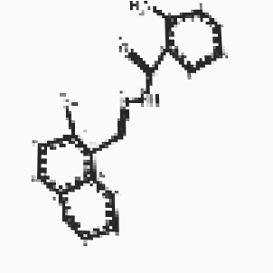 Nc1ccccc1C(=O)N/N=C/c1c(O)ccc2ccccc12